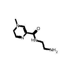 CN1C=C(C(=O)NCCN)N=CC1